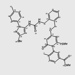 COC(=O)c1ccc(C)c(-n2c(SC)nc(OCc3ccccc3CNC(=O)Nc3cc(C(C)(C)C)nn3-c3ccc(C)cc3)cc2=O)c1